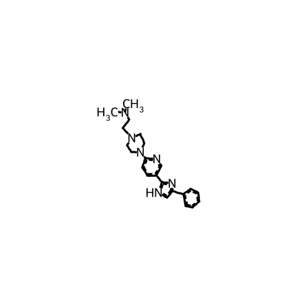 CN(C)CCN1CCN(c2ccc(-c3nc(-c4ccccc4)c[nH]3)cn2)CC1